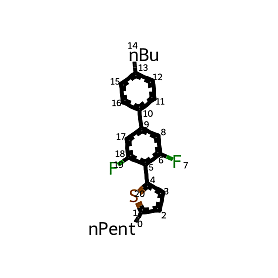 CCCCCc1ccc(-c2c(F)cc(-c3ccc(CCCC)cc3)cc2F)s1